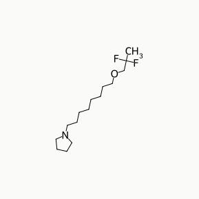 CC(F)(F)COCCCCCCCCN1CCCC1